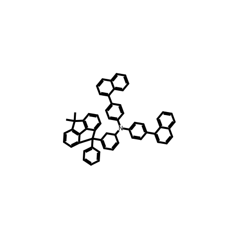 CC1(C)c2cccc3c2-c2c1cccc2C3(C1=CC=CC(N(c2ccc(-c3cccc4ccccc34)cc2)c2ccc(-c3cccc4ccccc34)cc2)C1)c1ccccc1